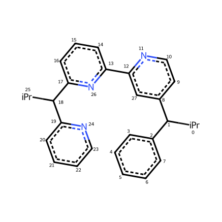 CC(C)C(c1ccccc1)c1ccnc(-c2cccc(C(c3ccccn3)C(C)C)n2)c1